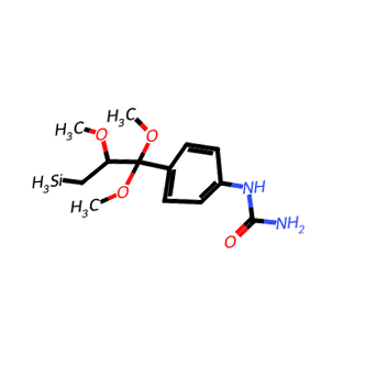 COC(C[SiH3])C(OC)(OC)c1ccc(NC(N)=O)cc1